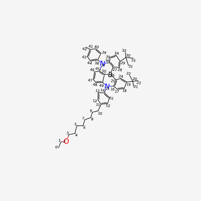 CCOCCCCCCCCc1ccc(N2c3ccc(C(C)(C)C)cc3B3c4cc(C(C)(C)C)ccc4N(c4ccc(C)cc4)c4cccc2c43)cc1